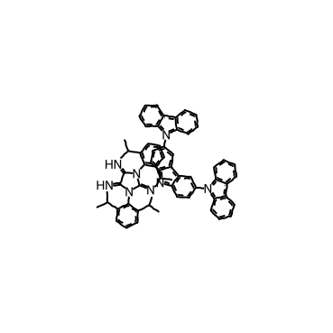 CC(C)c1cccc(C(C)C)c1N1C(=N)C(=N)N(c2c(C(C)C)cccc2C(C)C)C1=Nn1c2ccc(-n3c4ccccc4c4ccccc43)cc2c2cc(-n3c4ccccc4c4ccccc43)ccc21